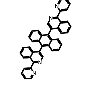 c1ccc(-c2ncc(-c3c4ccccc4c(-c4cnc(-c5ccccn5)c5ccccc45)c4ccccc34)c3ccccc23)nc1